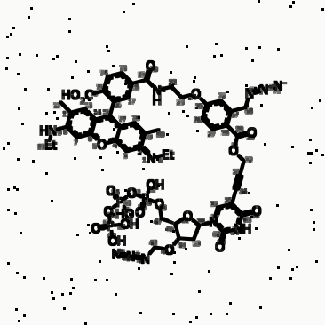 CC/N=c1/cc2oc3cc(NCC)c(C)cc3c(-c3cc(C(=O)NCCOc4ccc(C(=O)OCC#Cc5cn([C@H]6CC(OCN=[N+]=[N-])[C@@H](COP(=O)(O)OP(=O)(O)OP(=O)(O)O)O6)c(=O)[nH]c5=O)c(CN=[N+]=[N-])c4)ccc3C(=O)O)c-2cc1C